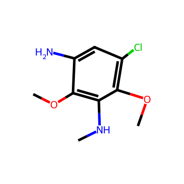 CNc1c(OC)c(N)cc(Cl)c1OC